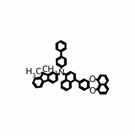 CC1(C)c2ccccc2-c2ccc(N(c3ccc(-c4ccccc4)cc3)c3ccc(-c4ccc5c(c4)Oc4cccc6cccc(c46)O5)c4ccccc34)cc21